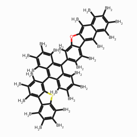 Bc1c(B)c(B)c2c(sc3c(-c4c5c(B)c(B)c(B)c(B)c5c(-c5c(B)c(B)c6c(oc7c(B)c8c(B)c(B)c(B)c(B)c8c(B)c76)c5B)c5c(B)c(B)c(B)c(B)c45)c(B)c(B)c(B)c32)c1B